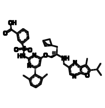 Cc1cccc(C)c1-c1cc(OC[C@@H](CC23CC(C2)C3)NCc2cnc3oc(C(C)C)c(C)c3n2)nc(NS(=O)(=O)c2cccc(C(=O)O)c2)n1